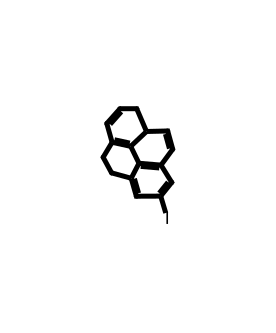 Ic1cc2c3c(c1)CCC1=C3C(C=C2)CC=C1